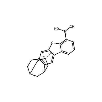 OB(O)c1cccc2c1oc1cc3c(cc12)C1CC2CC3C[C@H](C2)C1